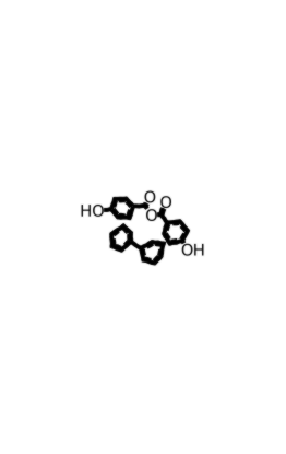 O=C(OC(=O)c1ccc(O)cc1)c1ccc(O)cc1.c1ccc(-c2ccccc2)cc1